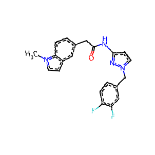 Cn1ccc2cc(CC(=O)Nc3ccn(Cc4ccc(F)c(F)c4)n3)ccc21